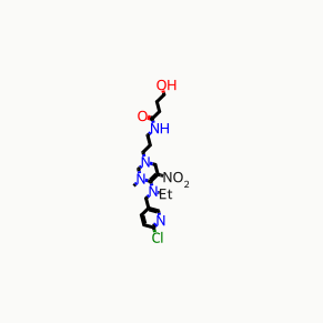 CCN(Cc1ccc(Cl)nc1)C1=C([N+](=O)[O-])CN(CCCNC(=O)CCCO)CN1C